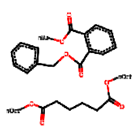 CCCCCCCCOC(=O)CCCCC(=O)OCCCCCCCC.CCCCOC(=O)c1ccccc1C(=O)OCc1ccccc1